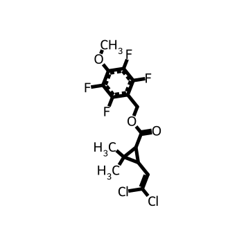 COc1c(F)c(F)c(COC(=O)C2C(C=C(Cl)Cl)C2(C)C)c(F)c1F